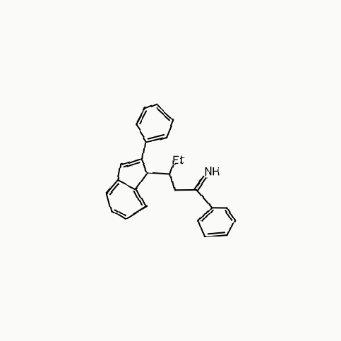 CCC(CC(=N)c1ccccc1)C1C(c2ccccc2)=Cc2ccccc21